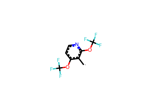 [CH2]c1c(OC(F)(F)F)ccnc1OC(F)(F)F